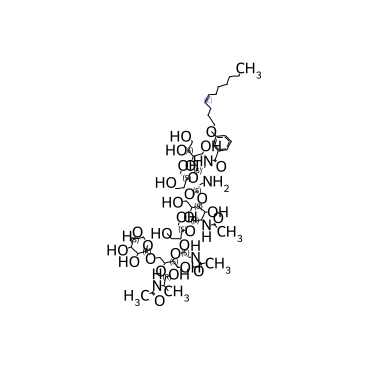 CCCCCC/C=C\CCCOc1cccc(C(=O)NC[C@@H](OC(CO)[C@@H](O)CO)O[C@@H](CO)C(CO)O[C@H](CN)O[C@@H]2C(CO)O[C@@H](O[C@@H](CO)C(CO)O[C@H](CNC(C)=O)O[C@@H](CO)C(CO[C@@H]3OC4O[C@H]4C(O)C3O)O[C@@H](O)C(C)NC(C)=O)C(NC(C)=O)C2O)c1